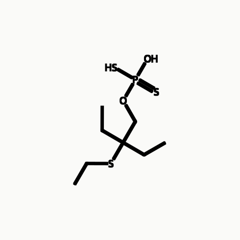 CCSC(CC)(CC)COP(O)(=S)S